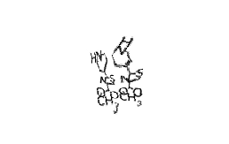 COC(=O)c1csc(C2=CCNCC2)n1.COC(=O)c1csc(C2=CCNCC2)n1